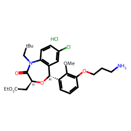 CCOC(=O)C[C@@H]1O[C@@H](c2cccc(OCCCN)c2OC)c2cc(Cl)ccc2N(CC(C)(C)C)C1=O.Cl